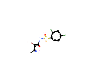 Cc1noc(NS(=O)(=O)c2ccc(Cl)cc2Cl)c1Br